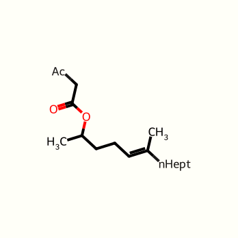 CCCCCCCC(C)=CCCC(C)OC(=O)CC(C)=O